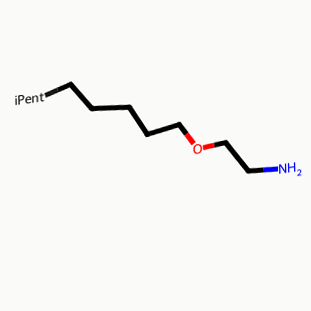 CCCC(C)CCCCCOCCN